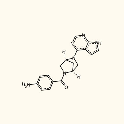 Nc1ccc(C(=O)N2C[C@@H]3C[C@H]2CN3c2ncnc3[nH]ccc23)cc1